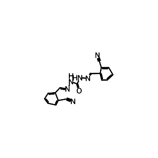 N#Cc1ccccc1C=NNC(=O)NN=Cc1ccccc1C#N